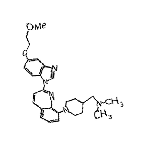 COCCOc1ccc2c(c1)ncn2-c1ccc2cccc(N3CCC(CN(C)C)CC3)c2n1